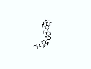 Cc1ccc(C(F)(F)Oc2ccc(-c3cc(F)c(C(F)(F)F)c(F)c3)c(F)c2)c(F)c1F